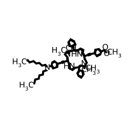 CCCCCCCCN(CCCCCCCC)c1ccc(C#Cc2c3nc(c(-c4ccccc4)c4ccc([nH]4)c(C#Cc4ccc(C(=O)OC)cc4)c4nc(c(-c5ccccc5)c5ccc2[nH]5)C(C)(C)C4)C(C)(C)C3)cc1